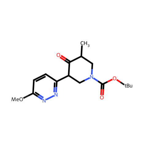 COc1ccc(C2CN(C(=O)OC(C)(C)C)CC(C)C2=O)nn1